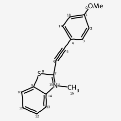 COc1ccc(C#Cc2sc3ccccc3[n+]2C)cc1